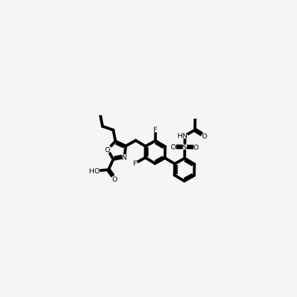 CCCc1oc(C(=O)O)nc1Cc1c(F)cc(-c2ccccc2S(=O)(=O)NC(C)=O)cc1F